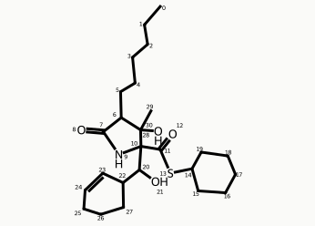 CCCCCCC1C(=O)NC(C(=O)SC2CCCCC2)(C(O)C2C=CCCC2)C1(C)O